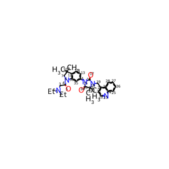 CCN(CC)CC(=O)N1CC(C)(C)c2ccc(N3C(=O)N(Cc4ccnc5ccccc45)C(C)(C)C3=O)cc21